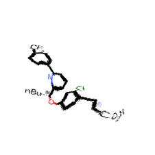 CCCC[C@@H](Oc1ccc(/C=C/C(=O)O)c(Cl)c1)c1cccc(-c2ccc(C(F)(F)F)cc2)n1